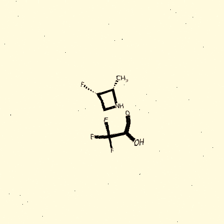 C[C@@H]1NC[C@@H]1F.O=C(O)C(F)(F)F